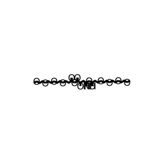 COCCOCCOCCOCCC(=O)OC(=N)CC(O)C(=O)OC(=O)CCOCCOCCOCCOC